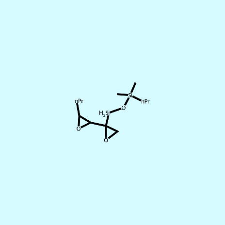 CCCC1OC1C1([SiH2]O[Si](C)(C)CCC)CO1